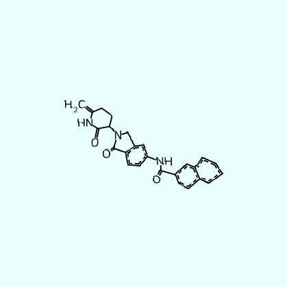 C=C1CCC(N2Cc3cc(NC(=O)c4ccc5ccccc5c4)ccc3C2=O)C(=O)N1